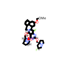 C#Cc1cccc2cc(OCOC)cc(-c3nc4c5c(nc(OC[C@@]67CCCN6C[C@H](F)C7)nc5c3F)N3C[C@@H]5CC[C@H]([C@H]3CO4)N5C(=O)OC(C)(C)C)c12